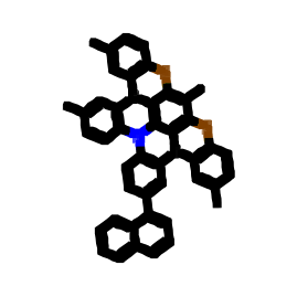 Cc1ccc2c(c1)B1c3cc(C)ccc3N3c4ccc(-c5cccc6ccccc56)cc4B4c5cc(C)ccc5Sc5c(C)c(c1c3c54)S2